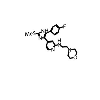 CSc1nc(-c2ccnc(NCCN3CCOCC3)c2)c(-c2ccc(F)cc2)[nH]1